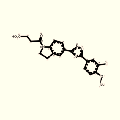 CC[C@H](C)Oc1ccc(-c2nc(-c3ccc4c(c3)CCN4C(=O)CCC(=O)O)no2)cc1Cl